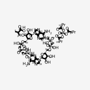 CC(C)C(=O)O.CC(C)C(=O)OP(=O)(OC(=O)C(C)C)OC(=O)C(C)C.Nc1ncnc2c1ncn2[C@@H]1O[C@H](COP(=O)(O)OP(=O)(O)O)[C@@H](O)[C@H]1O.Nc1ncnc2c1ncn2[C@@H]1O[C@H](COP(=O)(O)OP(=O)(O)OP(=O)(O)O)[C@@H](O)[C@H]1O